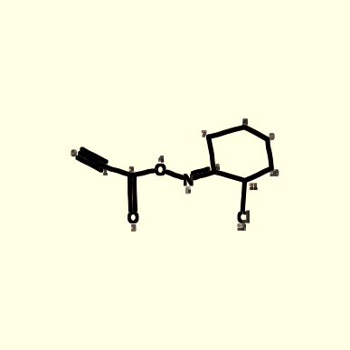 C#CC(=O)ON=C1CCCCC1Cl